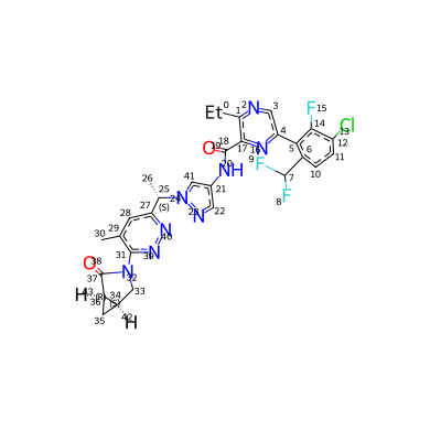 CCc1ncc(-c2c(C(F)F)ccc(Cl)c2F)nc1C(=O)Nc1cnn([C@@H](C)c2cc(C)c(N3C[C@H]4C[C@H]4C3=O)nn2)c1